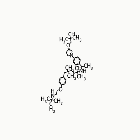 CC(NC(C)(C)CCC(C)(C)Cc1ccc(OCCNC(C)(C)C)cc1)c1ccc(N2CC[C@H](OCC(C)(C)C)C2)cc1